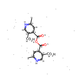 Cc1cc(C(=O)OC(=O)c2cc(C)ncc2C(=O)O)c(C(=O)O)cn1